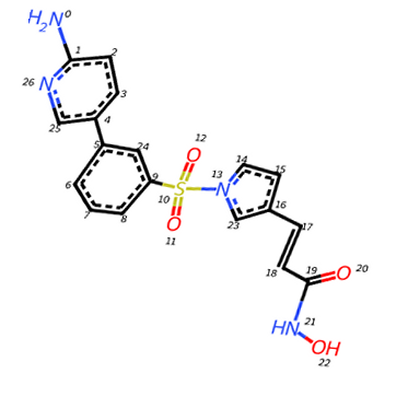 Nc1ccc(-c2cccc(S(=O)(=O)n3ccc(C=CC(=O)NO)c3)c2)cn1